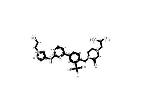 CC(C)CN1CCN(Cc2ccc(-c3ccnc(Nc4cnn(CCO)c4)n3)cc2C(F)(F)F)C(=O)C1